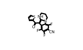 N#Cc1c(F)c(F)c2c(C(=O)c3cccs3)c3n(c2c1F)CCCN3